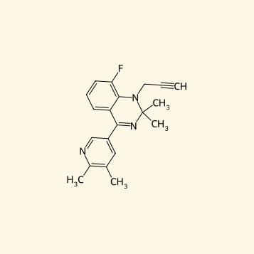 C#CCN1c2c(F)cccc2C(c2cnc(C)c(C)c2)=NC1(C)C